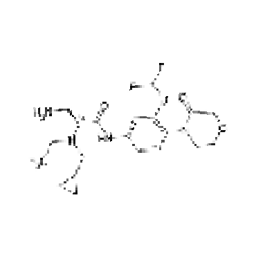 NC[C@@H](C(=O)Nc1ccc(N2CCOCC2=O)c(OC(F)F)c1)N(CC1CC1)CC(F)(F)F